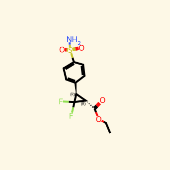 CCOC(=O)[C@H]1[C@H](c2ccc(S(N)(=O)=O)cc2)C1(F)F